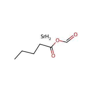 CCCCC(=O)OC=O.[SrH2]